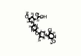 COc1cc(N2CC[C@@H](Oc3cnc(N4C[C@H](OC)[C@@H](C)[C@@H]4CC(=O)O)cn3)[C@H](C)C2)c(Cl)cn1